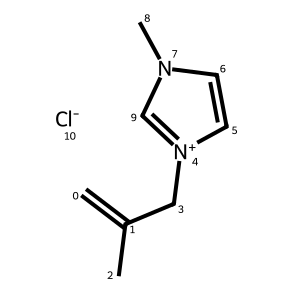 C=C(C)C[n+]1ccn(C)c1.[Cl-]